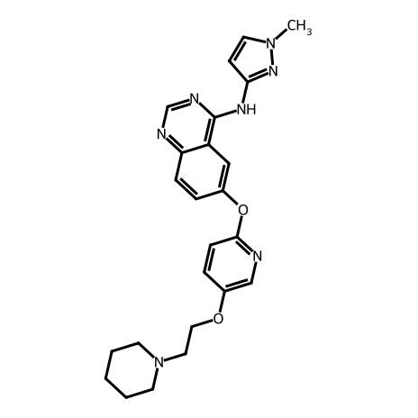 Cn1ccc(Nc2ncnc3ccc(Oc4ccc(OCCN5CCCCC5)cn4)cc23)n1